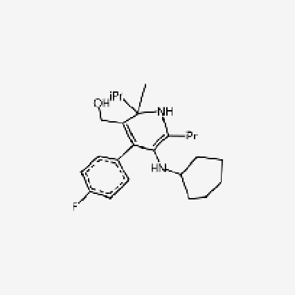 CC(C)C1=C(NC2CCCCC2)C(c2ccc(F)cc2)=C(CO)C(C)(C(C)C)N1